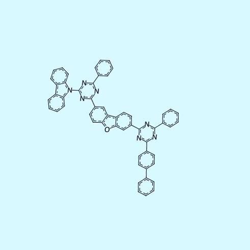 c1ccc(-c2ccc(-c3nc(-c4ccccc4)nc(-c4ccc5c(c4)oc4ccc(-c6nc(-c7ccccc7)nc(-n7c8ccccc8c8ccccc87)n6)cc45)n3)cc2)cc1